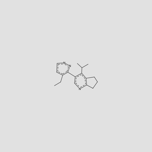 CCc1ccnnc1-c1cnc2c(c1C(C)C)CCC2